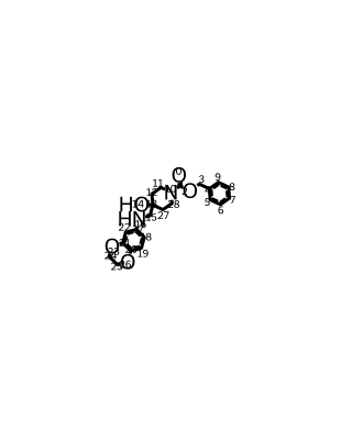 O=C(OCc1ccccc1)N1CCC(O)(CNc2ccc3c(c2)OCCO3)CC1